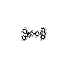 c1ccc(-c2nc3nc(-c4ccc(N5c6ccccc6Sc6ccccc65)cc4)ccn3c2-c2ccccc2)cc1